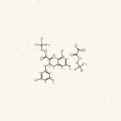 O=C(Cl)C(=O)OCC(F)(F)F.O=C(OCC(F)(F)F)C(=O)N(Cc1cc(F)cc(F)c1)Cc1cc(F)cc(F)c1